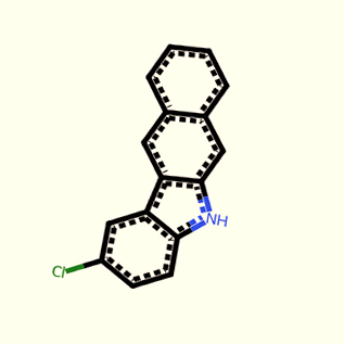 Clc1ccc2[nH]c3cc4ccccc4cc3c2c1